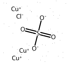 O=S(=O)([O-])[O-].[Cl-].[Cu+].[Cu+].[Cu+]